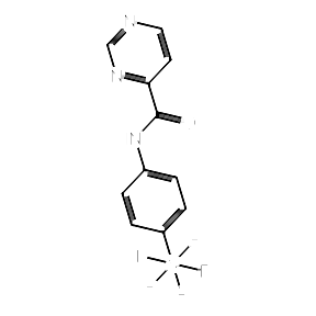 O=C(Nc1ccc(S(F)(F)(F)(F)F)cc1)c1ccncn1